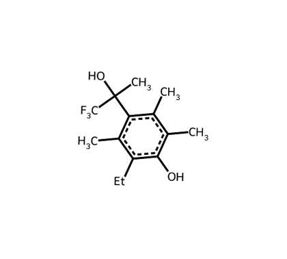 CCc1c(C)c(C(C)(O)C(F)(F)F)c(C)c(C)c1O